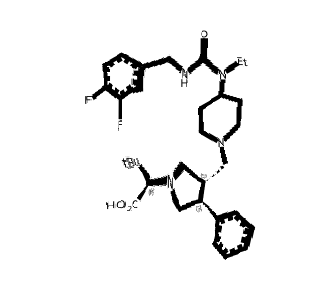 CCN(C(=O)NCc1ccc(F)c(F)c1)C1CCN(C[C@H]2CN([C@@H](C(=O)O)C(C)(C)C)C[C@@H]2c2ccccc2)CC1